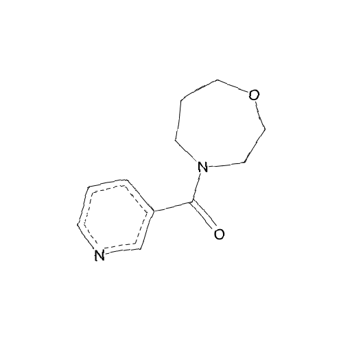 O=C(c1cccnc1)N1CCCOCC1